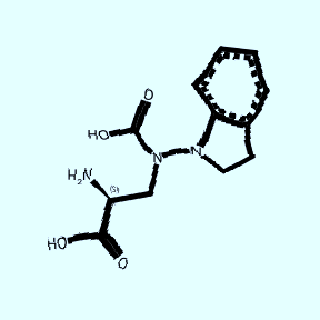 N[C@@H](CN(C(=O)O)N1CCc2ccccc21)C(=O)O